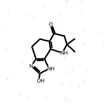 CC1(C)CC(=O)C2=C(N1)c1[nH]c(O)nc1CC2